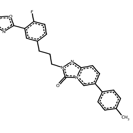 Cc1ccc(-c2ccc3nn(CCCc4ccc(F)c(-c5ncco5)c4)c(=O)n3c2)cc1